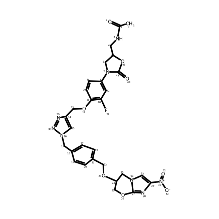 CC(=O)NCC1CN(c2ccc(OCc3cn(Cc4ccc(COC5COc6nc([N+](=O)[O-])cn6C5)cc4)nn3)c(F)c2)C(=O)O1